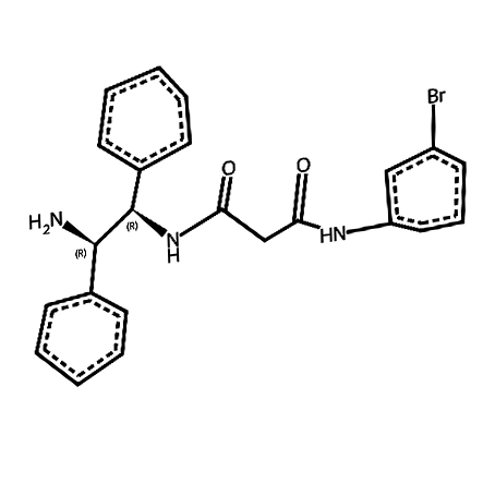 N[C@H](c1ccccc1)[C@H](NC(=O)CC(=O)Nc1cccc(Br)c1)c1ccccc1